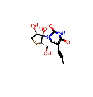 CC#Cc1cn([C@@]2(O)[C@H](O)CS[C@H]2CO)c(=O)[nH]c1=O